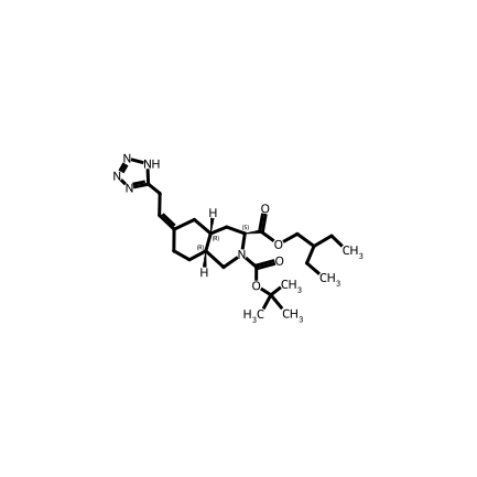 CCC(CC)COC(=O)[C@@H]1C[C@H]2CC(=CCc3nnn[nH]3)CC[C@H]2CN1C(=O)OC(C)(C)C